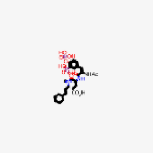 CC(=O)NC(Cc1ccc(OP(=O)(O)O)c(P(=O)(O)O)c1)C(=O)NC(CCC(=O)O)C(=O)N(C)CCCC1CCCCC1